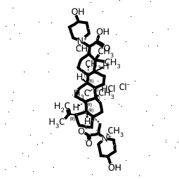 C=C(C)[C@@H]1CC[C@]2(CC(C(=O)[O-])[N+]3(C)CCC(O)CC3)CC[C@]3(C)[C@H](CC[C@@H]4[C@@]5(C)CCC(C(C(=O)O)[N+]6(C)CCC(O)CC6)C(C)(C)[C@@H]5CC[C@]43C)[C@@H]12.Cl.[Cl-]